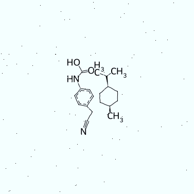 CC(C)[C@H]1CC[C@@H](C)CC1.N#CCc1ccc(NC(=O)O)cc1